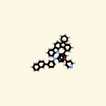 c1ccc(N(c2cccc(-c3ccc4ccccc4c3)c2)c2cccc3c4ccc5c6c4n(c23)-c2ccc(-c3ccncc3)cc2-c2cccc(c2-6)C52CCCCC2)cc1